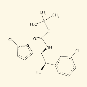 CC(C)(C)OC(=O)N[C@H](c1ccc(Cl)s1)[C@H](O)c1cccc(Cl)c1